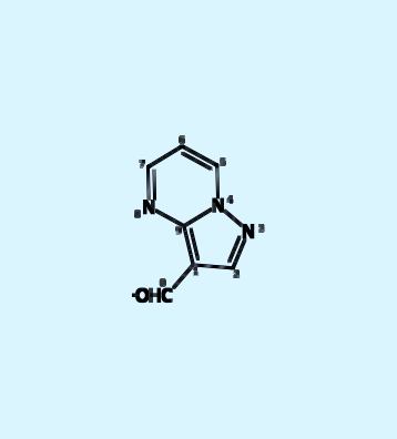 O=[C]c1cnn2cccnc12